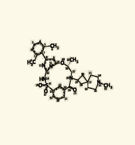 Cc1cccc(C)c1-c1cc2nc(n1)NS(=O)(=O)c1cccc(c1)C(=O)N(C1CC3(CCN(C)CC3)C1)C[C@@H](C)O2